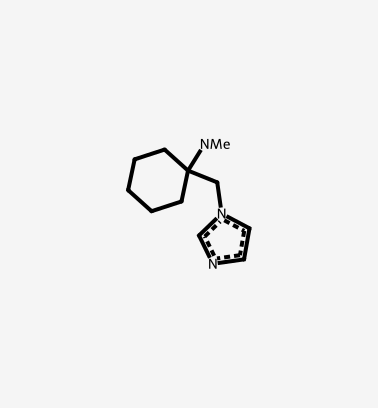 CNC1(Cn2ccnc2)CCCCC1